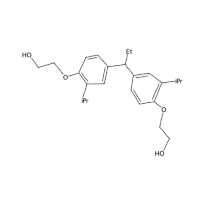 CCC(c1ccc(OCCO)c(C(C)C)c1)c1ccc(OCCO)c(C(C)C)c1